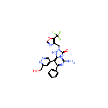 Nc1nc(-c2ccccc2)c(-c2cnnc(CO)c2)c2[nH]n(Cc3ncoc3C(F)(F)F)c(=O)[n+]12